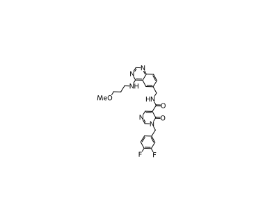 COCCCNc1ncnc2ccc(CNC(=O)c3cncn(Cc4ccc(F)c(F)c4)c3=O)cc12